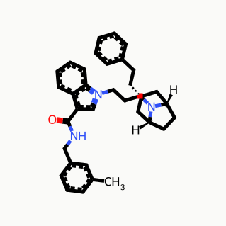 Cc1cccc(CNC(=O)c2cn(CCCN3[C@@H]4CC[C@H]3C[C@@H](CCc3ccccc3)C4)c3ccccc23)c1